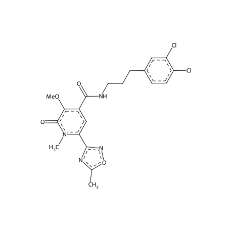 COc1c(C(=O)NCCCc2ccc(Cl)c(Cl)c2)cc(-c2noc(C)n2)n(C)c1=O